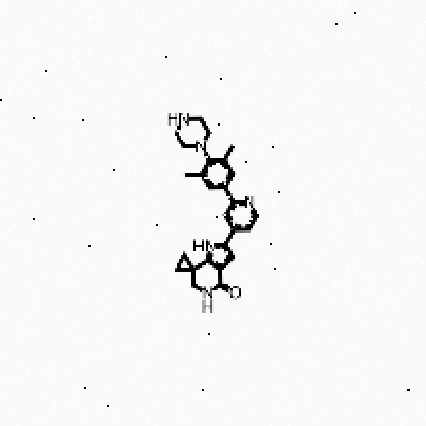 Cc1cc(-c2cc(-c3cc4c([nH]3)C3(CC3)CNC4=O)ccn2)cc(C)c1N1CCNCC1